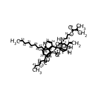 C=C[C@H]1CN2CC[C@H]1C[C@@H]2[C@@](OC(=O)NCCOC(=O)C(=C)C)(c1ccnc2ccc(OC)cc12)[S+]([O-])C(CCCCCCC)CCCCCCCCCC